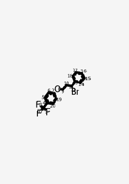 FC(F)(F)c1ccc(OCCC(Br)c2ccccc2)cc1